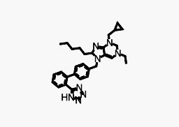 CCCCCC1N=C2C(=CN(CC)CN2CC2CC2)N1Cc1ccc(-c2ccccc2-c2nnn[nH]2)cc1